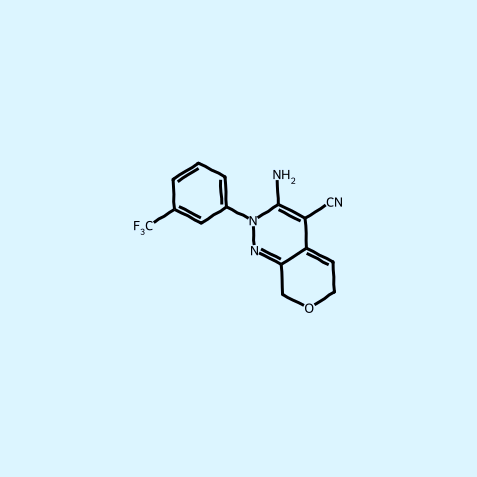 N#CC1=C(N)N(c2cccc(C(F)(F)F)c2)N=C2COCC=C21